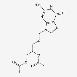 CC(=O)OCC(COCn1cnc2c(=O)[nH]c(N)nc21)OC(C)=O